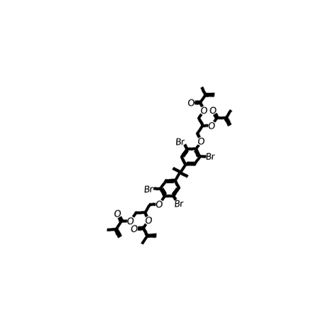 C=C(C)C(=O)OCC(COc1c(Br)cc(C(C)(C)c2cc(Br)c(OCC(COC(=O)C(=C)C)OC(=O)C(=C)C)c(Br)c2)cc1Br)OC(=O)C(=C)C